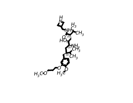 COCCCOc1cc(C[C@@H](C[C@H](N)[C@@H](O)C[C@H](C(=O)NCC2CNC2)C(C)C)C(C)C)ccc1OC